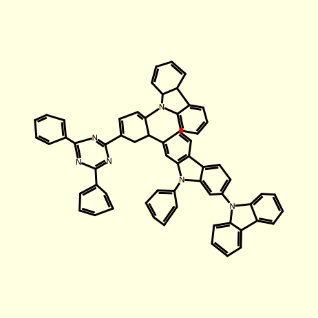 C1=CC2c3ccccc3N(C3=CC=C(c4nc(-c5ccccc5)nc(-c5ccccc5)n4)CC3c3ccc4c5ccc(-n6c7ccccc7c7ccccc76)cc5n(-c5ccccc5)c4c3)C2C=C1